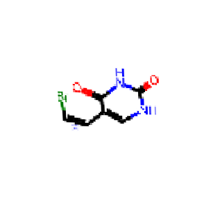 O=c1[nH]cc(/C=C\Br)c(=O)[nH]1